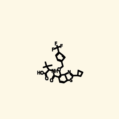 CC(C)(C)C(NC(=O)C1=C(OCc2ccc(C(F)(F)F)cc2)C2N=C(C3CCC3)SC2C=C1)C(=O)O